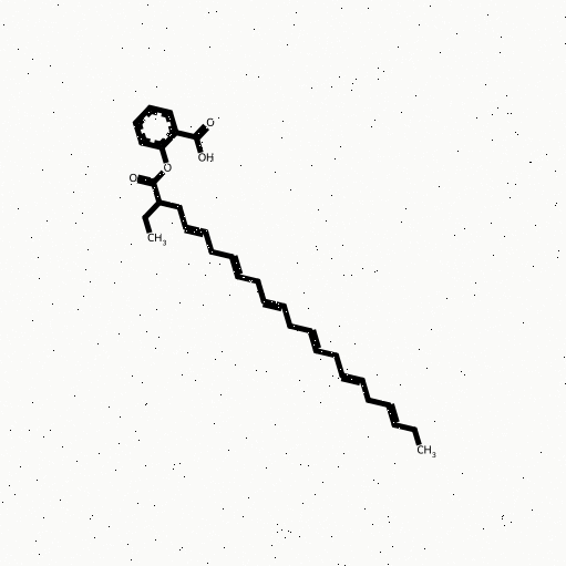 CCC=CCC=CCC=CCC=CCC=CCC=CCC(CC)C(=O)Oc1ccccc1C(=O)O